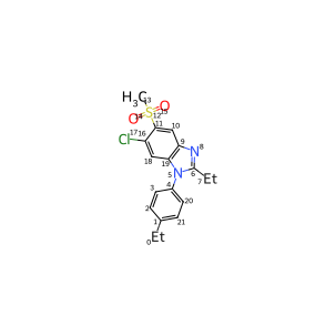 [CH2]Cc1ccc(-n2c(CC)nc3cc(S(C)(=O)=O)c(Cl)cc32)cc1